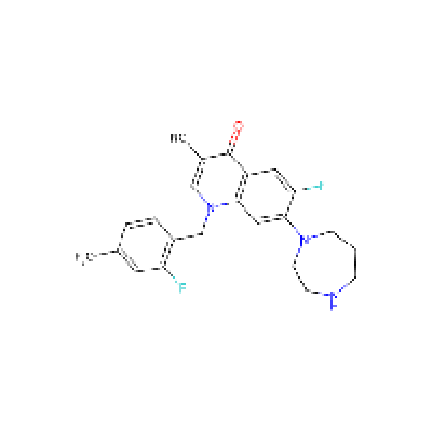 N#Cc1cn(Cc2ccc(C(F)(F)F)cc2F)c2cc(N3CCCNCC3)c(F)cc2c1=O